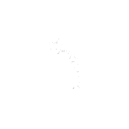 CC(OCc1ccc(CCOCCOCC(=O)OC(C)(C)C)cc1)C(CCC(N)=O)NC(=O)OC(C)(C)C